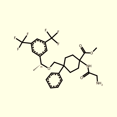 COC(=O)C1(NC(=O)CN)CCC(CO[C@H](C)c2cc(C(F)(F)F)cc(C(F)(F)F)c2)(c2ccccc2)CC1